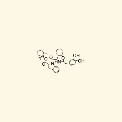 CC1(C)C2CCC1(C)C(OC(=O)C1Cc3ccccc3N1C(=O)C(NC(=O)Cc1ccc(O)c(O)c1)C1CCCCC1)C2